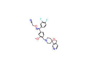 COc1cc(C(=NOCC#N)c2ccc(F)c(F)c2)ccc1CN1CCC2(CC1)OCc1ccncc12